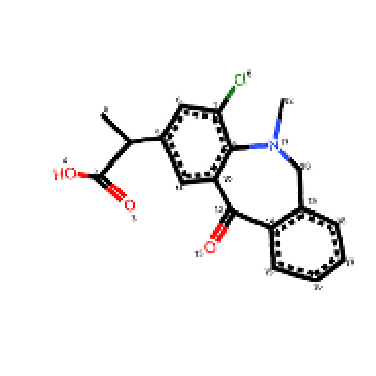 CC(C(=O)O)c1cc(Cl)c2c(c1)C(=O)c1ccccc1CN2C